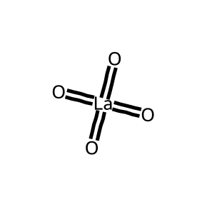 [O]=[La](=[O])(=[O])=[O]